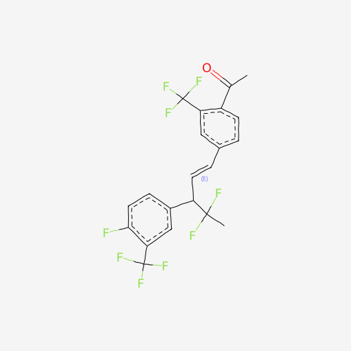 CC(=O)c1ccc(/C=C/C(c2ccc(F)c(C(F)(F)F)c2)C(C)(F)F)cc1C(F)(F)F